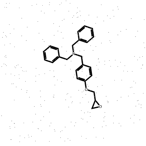 c1ccc(CN(Cc2ccccc2)Cc2ccc(OCC3CO3)cc2)cc1